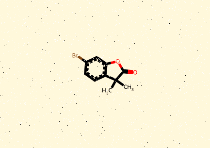 CC1(C)C(=O)Oc2cc(Br)ccc21